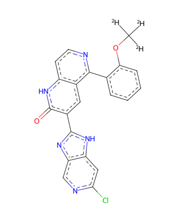 [2H]C([2H])([2H])Oc1ccccc1-c1nccc2[nH]c(=O)c(-c3nc4cnc(Cl)cc4[nH]3)cc12